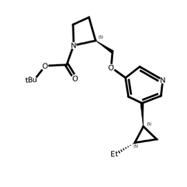 CC[C@H]1C[C@@H]1c1cncc(OC[C@@H]2CCN2C(=O)OC(C)(C)C)c1